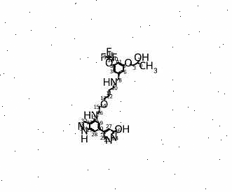 C[C@H](O)COc1cc(CNCCCCOCCNc2cc(-c3cnnc(O)c3)cc3[nH]ncc23)cc(OC(F)(F)F)c1